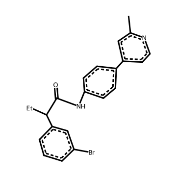 CCC(C(=O)Nc1ccc(-c2ccnc(C)c2)cc1)c1cccc(Br)c1